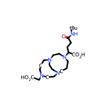 CC(C)(C)NC(=O)CCC(C(=O)O)N1CCCN2CCN(CCCN(CC(=O)O)CC2)CC1